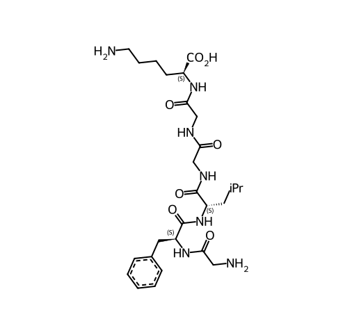 CC(C)C[C@H](NC(=O)[C@H](Cc1ccccc1)NC(=O)CN)C(=O)NCC(=O)NCC(=O)N[C@@H](CCCCN)C(=O)O